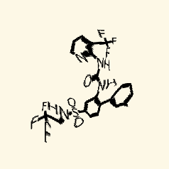 O=C(Nc1cc(S(=O)(=O)NCC(F)(F)F)ccc1-c1ccccc1)Nc1ncccc1C(F)(F)F